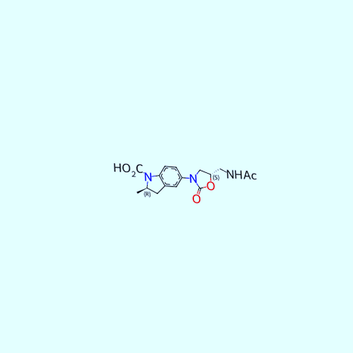 CC(=O)NC[C@H]1CN(c2ccc3c(c2)C[C@@H](C)N3C(=O)O)C(=O)O1